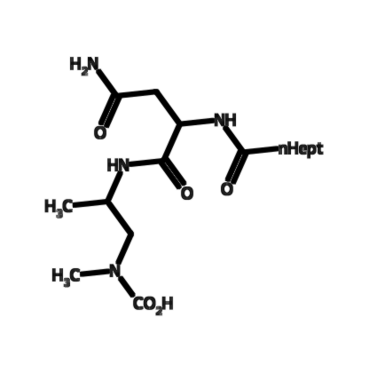 CCCCCCCC(=O)NC(CC(N)=O)C(=O)NC(C)CN(C)C(=O)O